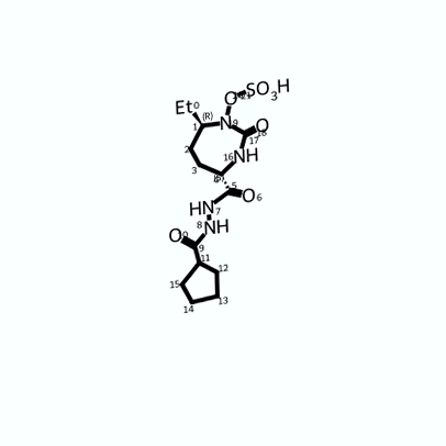 CC[C@@H]1CC[C@@H](C(=O)NNC(=O)C2CCCC2)NC(=O)N1OS(=O)(=O)O